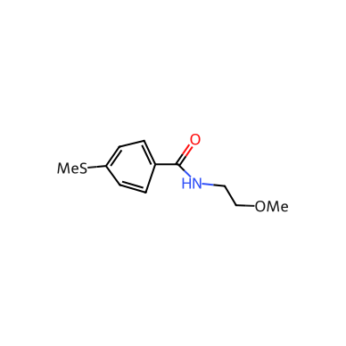 COCCNC(=O)c1ccc(SC)cc1